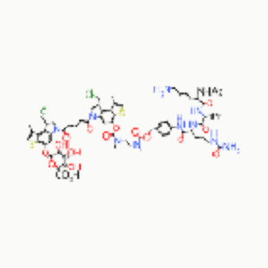 CC(=O)NC(CCCCN)C(=O)NC(C(=O)NC(CCCNC(N)=O)C(=O)Nc1ccc(COC(=O)N(C)CCN(C)C(=O)Oc2cc3c(c4c(C)csc24)C(CCl)CN3C(=O)CCCC(=O)N2CC(CCl)c3c2cc(O[C@@H]2O[C@H](C(=O)O)[C@@H](O)[C@H](O)[C@H]2O)c2scc(C)c32)cc1)C(C)C